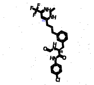 CCN/C(=C\C(=N)C(F)(F)F)CCCc1cccc(C[C@H](NC=O)C(=O)Nc2ccc(Cl)cc2)c1